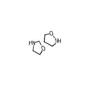 C1CNOC1.C1COCN1